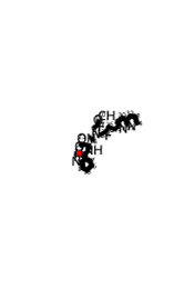 COCCN(CC[C@H](Nc1ncnc2ccccc12)C(=O)O)CC(F)(F)CCc1ccc2cccnc2n1